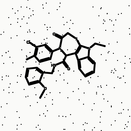 CCn1c2c(c3ccccc31)C(C(=O)NCc1ccccc1OC)N(c1ccc(C)c(Cl)c1)C(=O)CS2